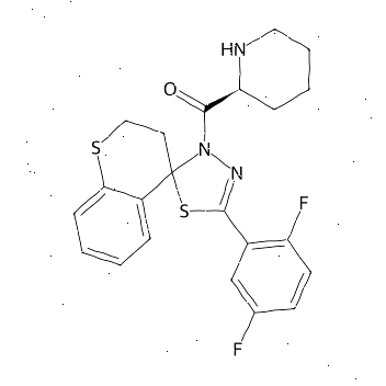 O=C([C@@H]1CCCCN1)N1N=C(c2cc(F)ccc2F)SC12CCSc1ccccc12